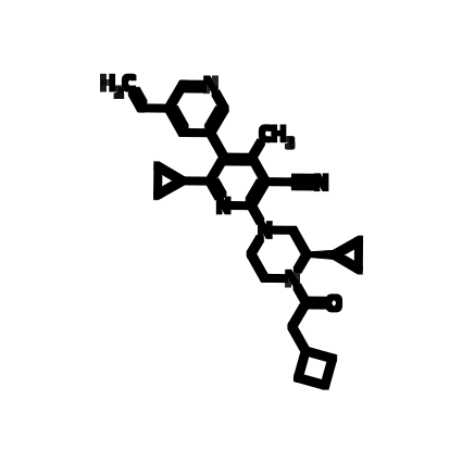 C=Cc1cncc(-c2c(C3CC3)nc(N3CCN(C(=O)CC4CCC4)[C@H](C4CC4)C3)c(C#N)c2C)c1